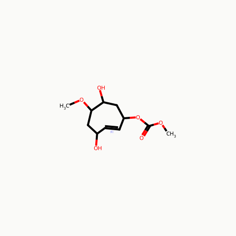 COC(=O)OC1/C=C/C(O)CC(OC)C(O)C1